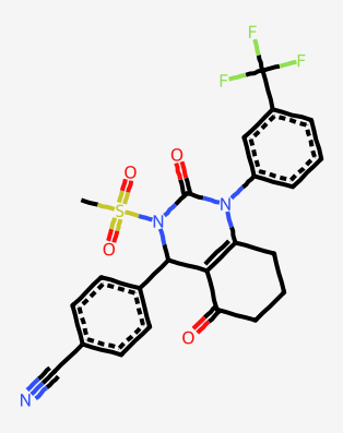 CS(=O)(=O)N1C(=O)N(c2cccc(C(F)(F)F)c2)C2=C(C(=O)CCC2)C1c1ccc(C#N)cc1